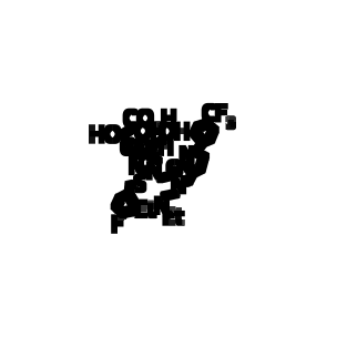 CCN(CC)CCN(Cc1ccc(-c2ccc(C(F)(F)F)cc2)nc1)C(=O)Cn1cc(CCO)c(=O)nc1SCc1ccc(F)cc1.O=C(O)C(O)C(O)C(=O)O